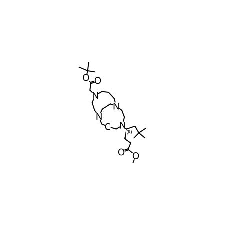 COC(=O)CC[C@H](CC(C)(C)C)N1CCCN2CCN(CCCN(CC(=O)OC(C)(C)C)CC2)CC1